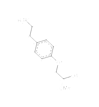 CO[C@@H](C)COc1ccc(CCN)cc1